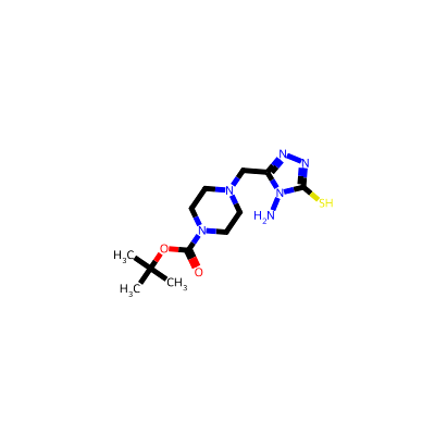 CC(C)(C)OC(=O)N1CCN(Cc2nnc(S)n2N)CC1